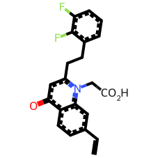 C=Cc1ccc2c(=O)cc(CCc3cccc(F)c3F)n(CC(=O)O)c2c1